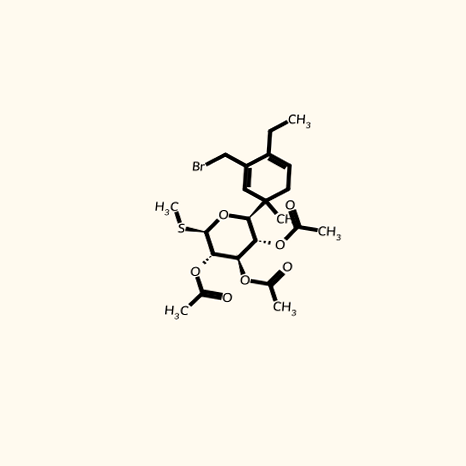 CCC1=CCC(C)([C@@H]2O[C@H](SC)[C@@H](OC(C)=O)[C@H](OC(C)=O)[C@H]2OC(C)=O)C=C1CBr